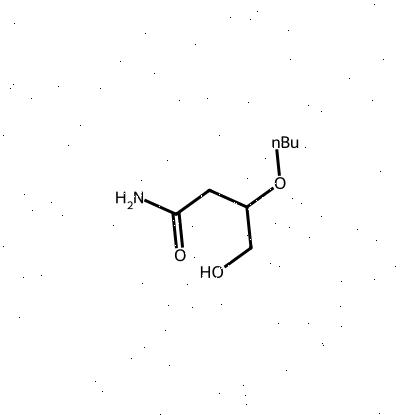 CCCCOC(CO)CC(N)=O